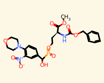 COC(=O)[C@H](CCO[PH](=O)C(O)c1ccc(N2CCOCC2)c([N+](=O)[O-])c1)NC(=O)OCc1ccccc1